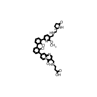 COc1nc(-c2cccc(-c3cccc(-c4ccn5c(=O)c(CNCCC(=O)O)cnc5c4)c3Cl)c2Cl)ccc1CNC[C@H]1CCC(=O)N1